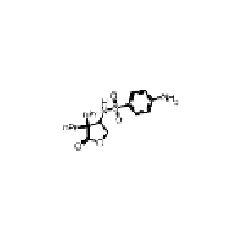 CCCC1(CCC)C(=O)OCC1NS(=O)(=O)c1ccc(N)cc1